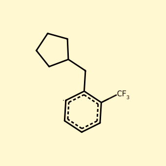 FC(F)(F)c1ccc[c]c1CC1CCCC1